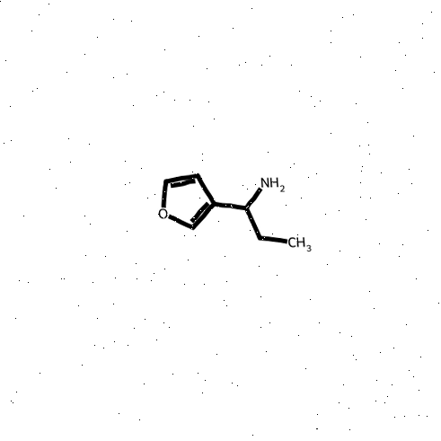 CCC(N)c1ccoc1